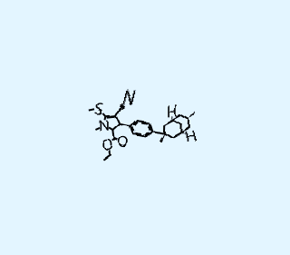 CCOC(=O)C1C(c2ccc([C@@]3(C)C[C@@H]4C[C@H](C)C[C@@H](C4)C3)cc2)C(C#N)=C(SC)N1C